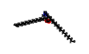 CCCCCCCCCCCCCCCCCC(=O)CC(CN(C)C)C(=O)CCCCCCCCCCCCCCCCC